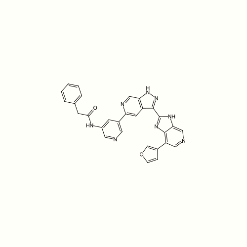 O=C(Cc1ccccc1)Nc1cncc(-c2cc3c(-c4nc5c(-c6ccoc6)cncc5[nH]4)n[nH]c3cn2)c1